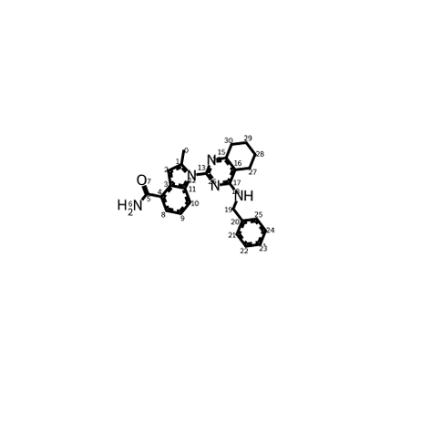 Cc1cc2c(C(N)=O)cccc2n1-c1nc2c(c(NCc3cc[c]cc3)n1)CCCC2